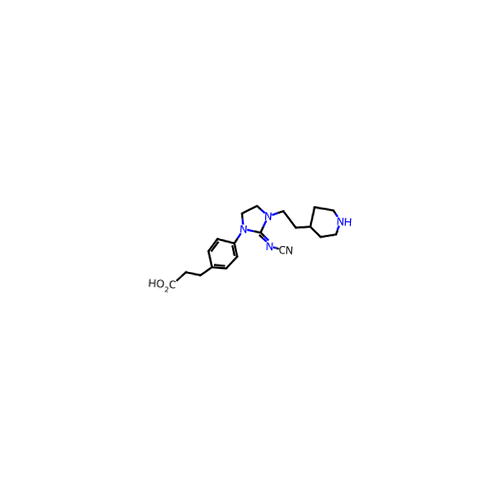 N#C/N=C1\N(CCC2CCNCC2)CCN1c1ccc(CCC(=O)O)cc1